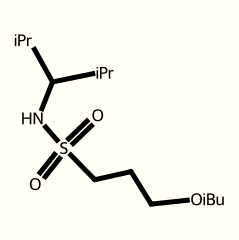 CC(C)COCCCS(=O)(=O)NC(C(C)C)C(C)C